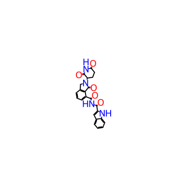 O=C1CCC(N2Cc3cccc(C(=O)NC(=O)c4cc5ccccc5[nH]4)c3C2=O)C(=O)N1